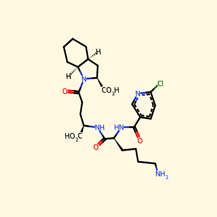 NCCCC[C@H](NC(=O)c1ccc(Cl)nc1)C(=O)N[C@H](CCC(=O)N1[C@H](C(=O)O)C[C@@H]2CCCC[C@@H]21)C(=O)O